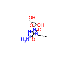 CCCCn1c(=O)n([C@@H]2O[C@H](CO)C[C@H]2O)c2ncn(N)c(=O)c21